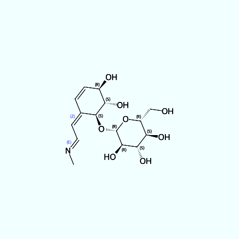 C/N=C/C=C1/C=C[C@@H](O)[C@H](O)[C@H]1O[C@@H]1O[C@H](CO)[C@@H](O)[C@H](O)[C@H]1O